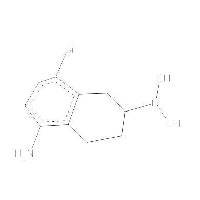 CN(C)C1CCc2c(N)ccc(Br)c2C1